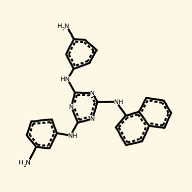 Nc1cccc(Nc2nc(Nc3cccc(N)c3)nc(Nc3cccc4ccccc34)n2)c1